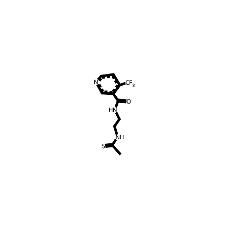 CC(=S)NCCNC(=O)c1cnccc1C(F)(F)F